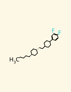 CCCCC[C@H]1CC[C@H](CCC2CCC(c3ccc(F)c(F)c3)CC2)CC1